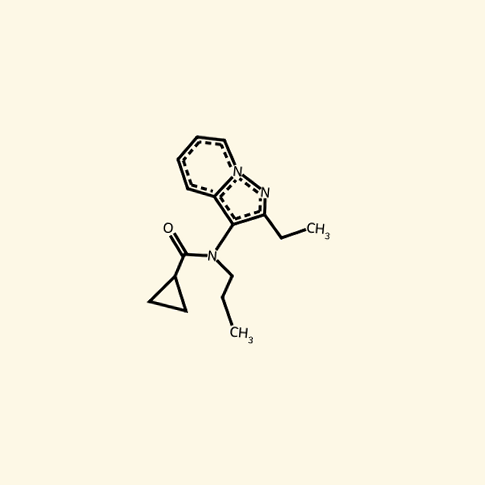 CCCN(C(=O)C1CC1)c1c(CC)nn2ccccc12